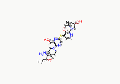 C[C@@H]1OCC2(CCN(c3ncc(Sc4ccnc5c4OC[C@@H]4C[C@@H](O)CN54)nc3CO)CC2)[C@@H]1N